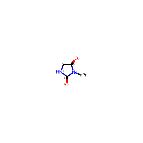 CCCN1C(=O)CNC1=O